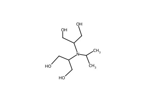 CC(C)N(C(CO)CO)C(CO)CO